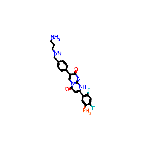 NCCCNCc1ccc(-c2cn3c(=O)cc(-c4cc(P)c(F)cc4F)[nH]c3nc2=O)cc1